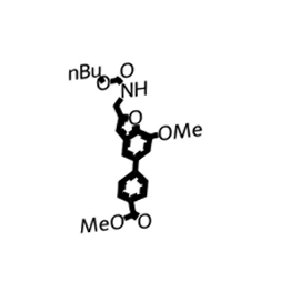 CCCCOC(=O)NCc1cc2cc(-c3ccc(C(=O)OC)cc3)cc(OC)c2o1